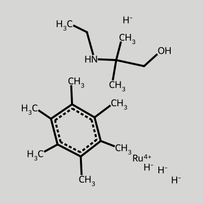 CCNC(C)(C)CO.Cc1c(C)c(C)c(C)c(C)c1C.[H-].[H-].[H-].[H-].[Ru+4]